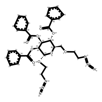 [N-]=[N+]=NCCOC[C@H]1O[C@H](OCCN=[N+]=[N-])[C@@H](OC(=O)c2ccccc2)[C@@H](OC(=O)c2ccccc2)[C@@H]1OC(=O)c1ccccc1